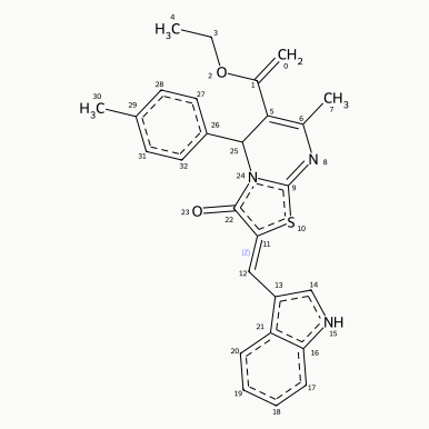 C=C(OCC)C1=C(C)N=c2s/c(=C\c3c[nH]c4ccccc34)c(=O)n2C1c1ccc(C)cc1